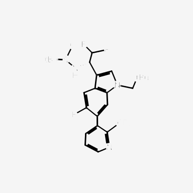 CC(C)(C)Cn1cc([C@H](N[S+]([O-])C(C)(C)C)C(F)F)c2cc(F)c(-c3cccnc3C(F)(F)F)cc21